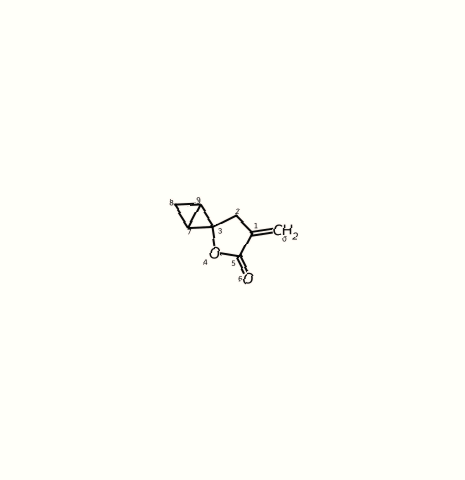 C=C1CC2(OC1=O)C1CC12